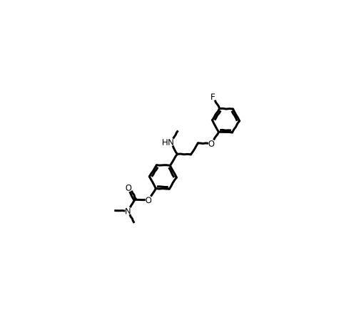 CNC(CCOc1cccc(F)c1)c1ccc(OC(=O)N(C)C)cc1